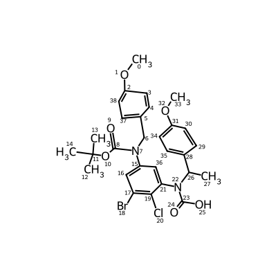 COc1ccc(CN(C(=O)OC(C)(C)C)c2cc(Br)c(Cl)c(N(C(=O)O)C(C)c3ccc(OC)cc3)c2)cc1